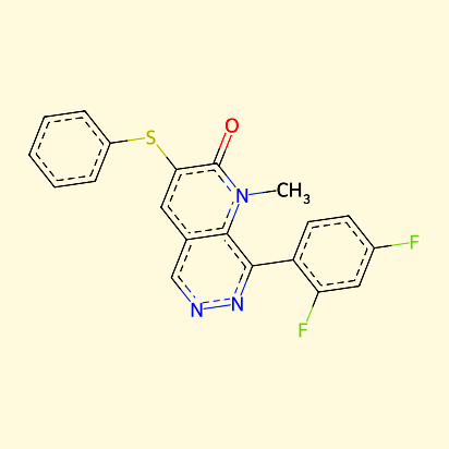 Cn1c(=O)c(Sc2ccccc2)cc2cnnc(-c3ccc(F)cc3F)c21